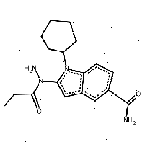 CCC(=O)N(N)c1cc2cc(C(N)=O)ccc2n1C1CCCCC1